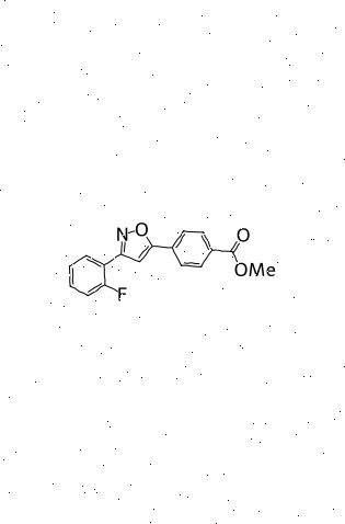 COC(=O)c1ccc(-c2cc(-c3ccccc3F)no2)cc1